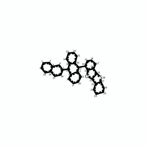 c1ccc2cc(-c3c4ccccc4c(-c4cccc5c4oc4c6ccccc6sc54)c4ccccc34)ccc2c1